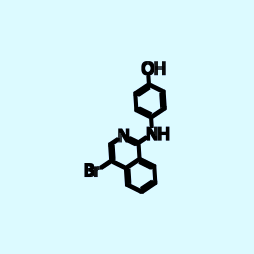 Oc1ccc(Nc2ncc(Br)c3ccccc23)cc1